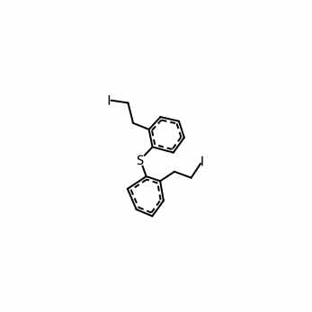 ICCc1ccccc1Sc1ccccc1CCI